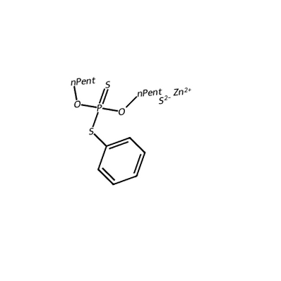 CCCCCOP(=S)(OCCCCC)Sc1ccccc1.[S-2].[Zn+2]